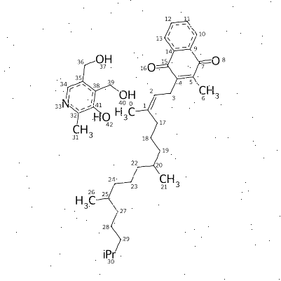 CC(=CCC1=C(C)C(=O)c2ccccc2C1=O)CCCC(C)CCCC(C)CCCC(C)C.Cc1ncc(CO)c(CO)c1O